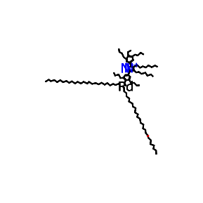 CCCCCCCCC1=C(c2cc(CCCC)c(CC)c(CCCC)c2)[N+](=[N-])C(c2cc(CCCC)c(CC)c(CCCC)c2)=C1CCCCCCC.CCCCCCCCCCCCCCCCCCCCCCCCC[CH2][Pd][CH2]CCCCCCCCCCCCCCCCCCCCCCCCC